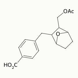 CC(=O)OCC1C2CCC(O2)C1Cc1ccc(C(=O)O)cc1